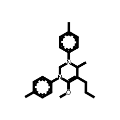 CCCC1=C(OC)N(c2ccc(C)cc2)[CH]N(c2ccc(C)cc2)C1C